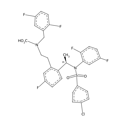 C[C@H](c1ccc(F)cc1CCN(Cc1cc(F)ccc1F)C(=O)O)N(c1cc(F)ccc1F)S(=O)(=O)c1ccc(Cl)cc1